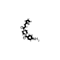 Nc1ccc(C(=O)N2CCN(C(=O)CCc3cccs3)CC2)cc1